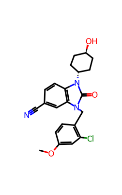 COc1ccc(Cn2c(=O)n([C@H]3CC[C@H](O)CC3)c3ccc(C#N)cc32)c(Cl)c1